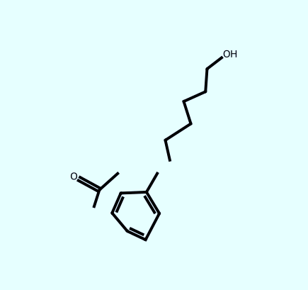 CC(C)=O.CCCCCCO.Cc1ccccc1